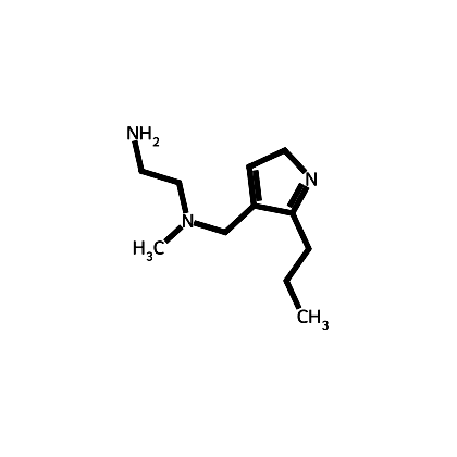 CCCC1=NCC=C1CN(C)CCN